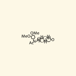 COc1ccc(N(C[C@H]2CC[C@H]3[C@@H]4CC[C@H]5N(C)C(=O)C=C[C@]5(C)[C@H]4CC[C@]23C)C(C)=O)cc1OC